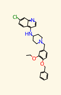 CCOc1cc(CN2CCC(Nc3ccnc4cc(Cl)ccc34)CC2)ccc1OCc1ccccc1